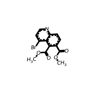 COC(=O)c1ccc2nccc(Br)c2c1C(=O)OC